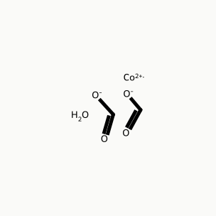 O.O=C[O-].O=C[O-].[Co+2]